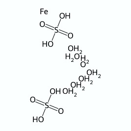 O.O.O.O.O.O.O.O=S(=O)(O)O.O=S(=O)(O)O.[Fe]